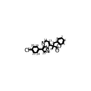 CC(Cc1ccccc1)(C(=O)Cl)c1ccnc2c(-c3ccc(Cl)cc3)cnn12